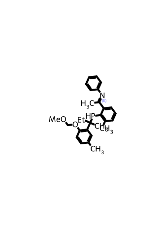 CCC(C)(Pc1c(C)cccc1/C(C)=N/c1ccccc1)c1cc(C)ccc1OCOC